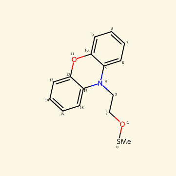 CSOCCN1c2ccccc2Oc2ccccc21